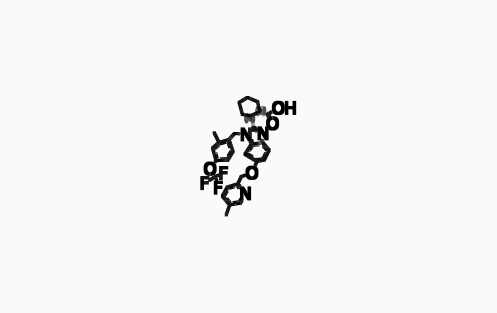 Cc1ccc(COc2ccc3nc([C@@H]4CCCC[C@@H]4C(=O)O)n(Cc4ccc(OC(F)(F)F)cc4C)c3c2)nc1